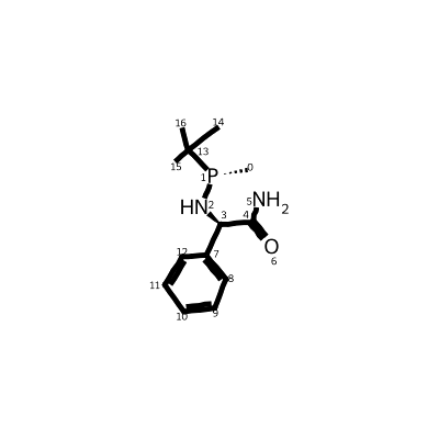 C[P@](N[C@@H](C(N)=O)c1ccccc1)C(C)(C)C